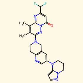 Cc1c(N2CCc3ncc(N4CCCn5nccc54)cc3C2)nn2c(=O)cc(C(F)F)nc2c1C